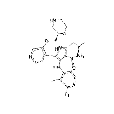 Cc1c(Cl)cccc1Nc1c(-c2ccncc2OC[C@H]2CNCCO2)[nH]c2c1C(=O)NC(C)C2